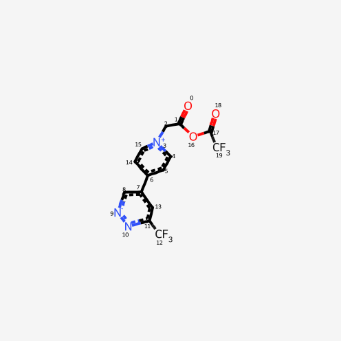 O=C(C[n+]1ccc(-c2cnnc(C(F)(F)F)c2)cc1)OC(=O)C(F)(F)F